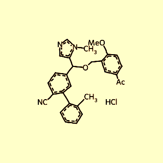 COc1ccc(C(C)=O)cc1COC(c1ccc(C#N)c(-c2ccccc2C)c1)c1cncn1C.Cl